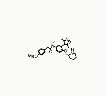 COc1ccc(CC(=O)Nc2ccc(OC[C@H]3CCCCN3)c(-c3c(C)noc3C)c2)cc1